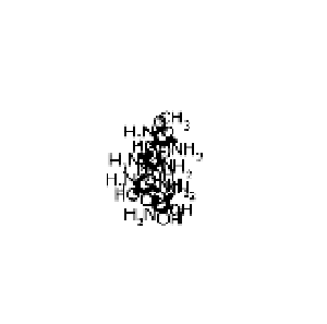 CO[C@H]1OC(CN)[C@@H](O[C@H]2OC(CN)[C@@H](O[C@H]3OC(CN)[C@@H](O[C@H]4OC(CN)[C@@H](O)C(O)C4N)C(O)C3N)C(O)C2N)C(O)C1N